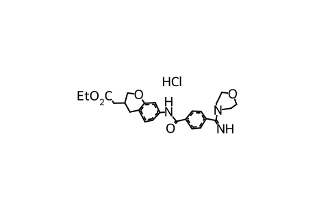 CCOC(=O)CC1COc2cc(NC(=O)c3ccc(C(=N)N4CCOCC4)cc3)ccc2C1.Cl